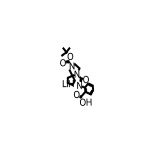 CC(C)(C)OC(=O)N1CCN(c2nc3c(C(=O)O)cccc3o2)C2(CCCC2)C1.[LiH]